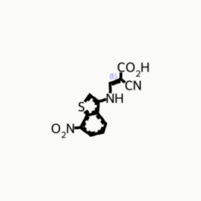 N#C/C(=C\Nc1csc2c([N+](=O)[O-])cccc12)C(=O)O